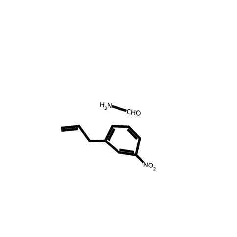 C=CCc1cccc([N+](=O)[O-])c1.NC=O